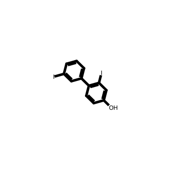 Oc1ccc(-c2cccc(I)c2)c(I)c1